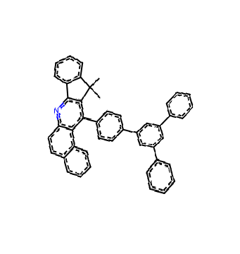 CC1(C)c2ccccc2-c2nc3ccc4ccccc4c3c(-c3ccc(-c4cc(-c5ccccc5)cc(-c5ccccc5)c4)cc3)c21